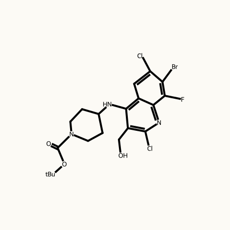 CC(C)(C)OC(=O)N1CCC(Nc2c(CO)c(Cl)nc3c(F)c(Br)c(Cl)cc23)CC1